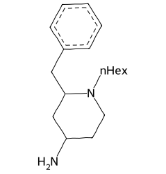 CCCCCCN1CCC(N)CC1Cc1ccccc1